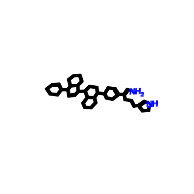 N/C=C(\CCCC1=CNCC1)C1=CCC(C2CCC(C3C=CC(C4C=CCCC4)C4CCCCC34)C3CCCCC23)CC1